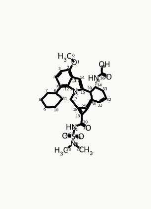 COc1ccc(C2CCCCC2)c2c1cc1n2CC2=C(C(=O)NS(=O)(=O)N(C)C)C2=C2C=CC[C@@H](NC(=O)O)C21